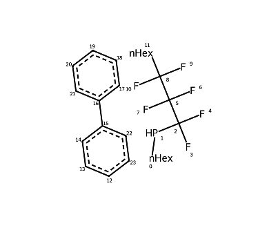 CCCCCCPC(F)(F)C(F)(F)C(F)(F)CCCCCC.c1ccc(-c2ccccc2)cc1